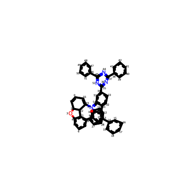 C1=CC2Oc3cccc(-c4cccc(-c5ccccc5)c4)c3C2C(n2c3ccccc3c3ccc(-c4nc(-c5ccccc5)nc(-c5ccccc5)n4)cc32)=C1